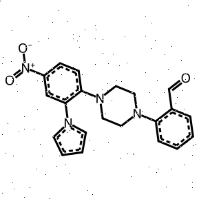 O=Cc1ccccc1N1CCN(c2ccc([N+](=O)[O-])cc2-n2cccc2)CC1